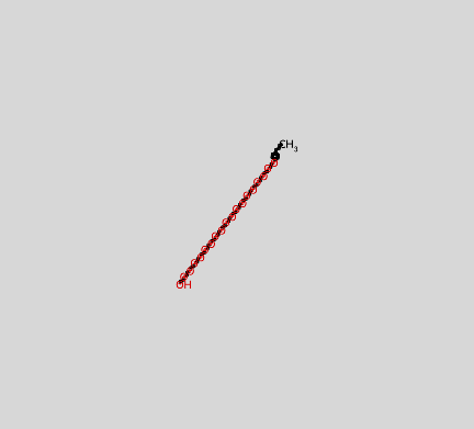 CCCCc1ccc(OCCOCCOCCOCCOCCOCCOCCOCCOCCOCCOCCOCCOCCOCCOCCOCCOCCOCCO)cc1